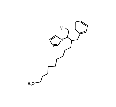 CCCCCCCCCCC(Cc1ccccc1)C(CC)n1ccnc1